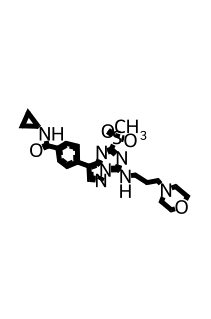 CS(=O)(=O)c1nc(NCCCN2CCOCC2)n2ncc(-c3ccc(C(=O)NC4CC4)cc3)c2n1